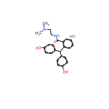 CN(C)CCNC(=O)c1ccccc1C(c1ccc(O)cc1)c1ccc(O)cc1.Cl